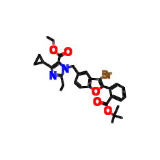 CCOC(=O)c1c(C2CC2)nc(CC)n1Cc1ccc2oc(-c3ccccc3C(=O)OC(C)(C)C)c(Br)c2c1